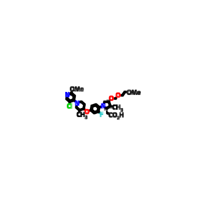 COCCOCO[C@H]1CN(c2ccc(OC3CCN(c4cc(OC)ncc4Cl)CC3C)cc2F)[C@@H](CC(=O)O)[C@@H]1C